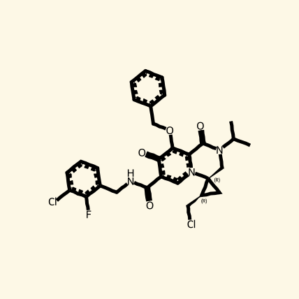 CC(C)N1C[C@]2(C[C@H]2CCl)n2cc(C(=O)NCc3cccc(Cl)c3F)c(=O)c(OCc3ccccc3)c2C1=O